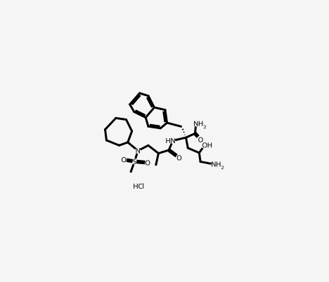 CC(CN(C1CCCCCC1)S(C)(=O)=O)C(=O)N[C@](Cc1ccc2ccccc2c1)(CC(O)CN)C(N)=O.Cl